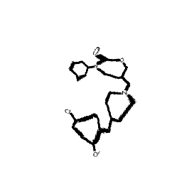 O=C1OCC(CN2CCC(Cc3cc(Cl)ccc3Cl)CC2)CN1C1CCCCC1